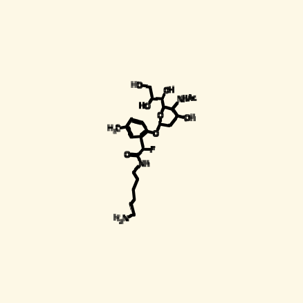 CC(=O)NC1C(O)CC(Oc2ccc(C)cc2C(F)C(=O)NCCCCCCN)OC1C(O)C(O)CO